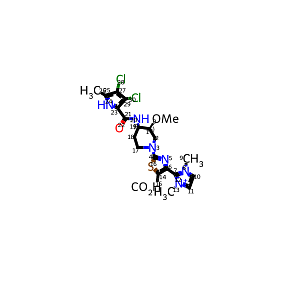 CO[C@H]1CN(c2nc(-c3n(C)cc[n+]3C)c(C(=O)O)s2)CC[C@H]1NC(=O)c1[nH]c(C)c(Cl)c1Cl